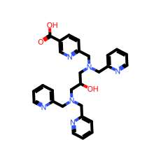 O=C(O)c1ccc(CN(Cc2ccccn2)CC(O)CN(Cc2ccccn2)Cc2ccccn2)nc1